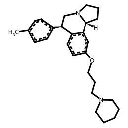 Cc1ccc([C@H]2CN3CCC[C@@H]3c3cc(OCCCN4CCCCC4)ccc32)cc1